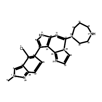 Cn1cc2c(Cl)c(-c3c[nH]c4nc(N5CCCNCC5)n5ccnc5c34)ccc2n1